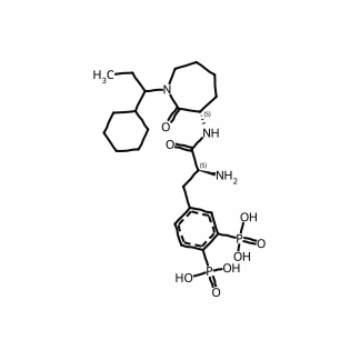 CCC(C1CCCCC1)N1CCCC[C@H](NC(=O)[C@@H](N)Cc2ccc(P(=O)(O)O)c(P(=O)(O)O)c2)C1=O